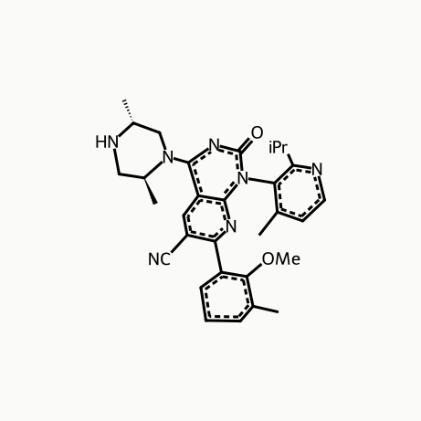 COc1c(C)cccc1-c1nc2c(cc1C#N)c(N1C[C@@H](C)NC[C@@H]1C)nc(=O)n2-c1c(C)ccnc1C(C)C